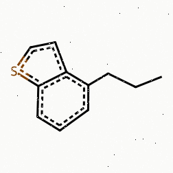 CCCc1cccc2sccc12